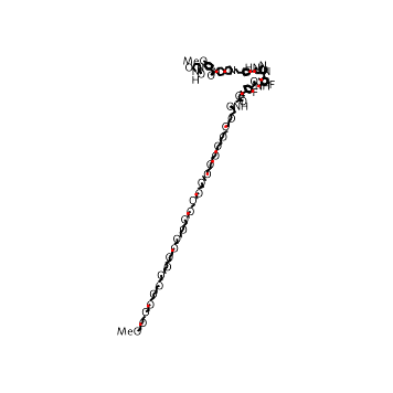 COCCOCCOCCOCCOCCOCCOCCOCCOCCOCCOCCOCCOCCOCCOCCOCCOCCOCCOCCOCCOCCOCCOCCOCCC(=O)NCC(=O)OC(C)(C)c1ccc(C(=O)Nc2cc(F)cc(-c3ncnc4[nH]c(-c5ccc(CCN6CCC7(CC6)CCN(C(=O)c6ccc(OC)c(N8CCC(=O)NC8=O)c6)CC7)cc5)cc34)c2C)c(F)c1